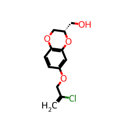 C=C(Cl)COc1ccc2c(c1)O[C@@H](CO)CO2